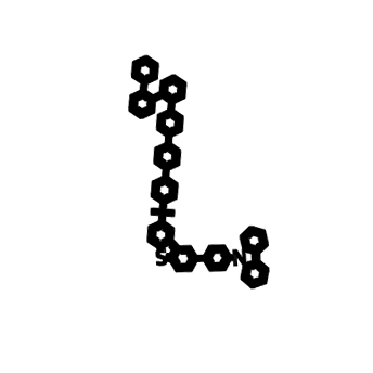 CC(C)(c1ccc(-c2ccc(-c3ccc(-c4ccccc4-c4ccccc4-c4ccccc4)cc3)cc2)cc1)c1ccc2sc3ccc(-c4ccc(-n5c6ccccc6c6ccccc65)cc4)cc3c2c1